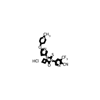 CN1CCC(Oc2ccc(N3C(=S)N(c4cnc(C#N)c(C(F)(F)F)c4)C(=O)C34CCC4)cn2)CC1.Cl